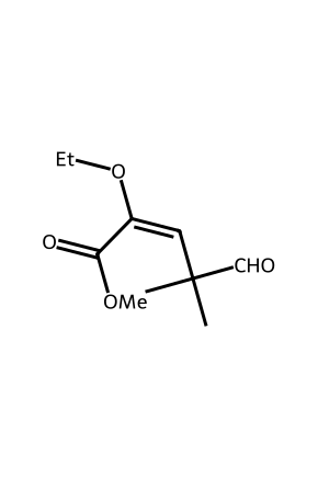 CCOC(=CC(C)(C)C=O)C(=O)OC